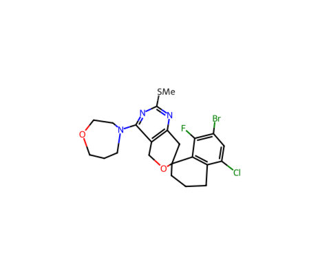 CSc1nc2c(c(N3CCCOCC3)n1)COC1(CCCc3c(Cl)cc(Br)c(F)c31)C2